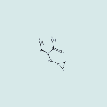 CC[C@H](OC1CC1)C(=O)O